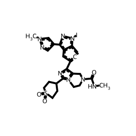 CNC(=O)N1CCn2c(C3CCS(=O)(=O)CC3)nc(-c3ccc4c(c3)c(-c3cnn(C)c3)nn4I)c2C1